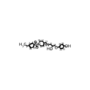 CCc1ccc(S(=O)(=O)N2CCC(CNC[C@H](O)COc3ccc(O)cc3)CC2)cc1